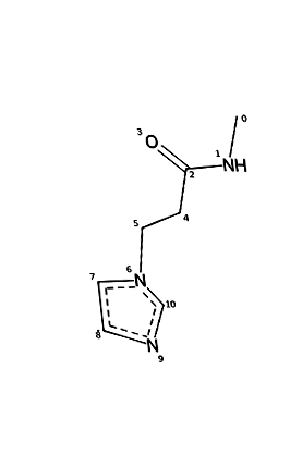 CNC(=O)CCn1c[c]nc1